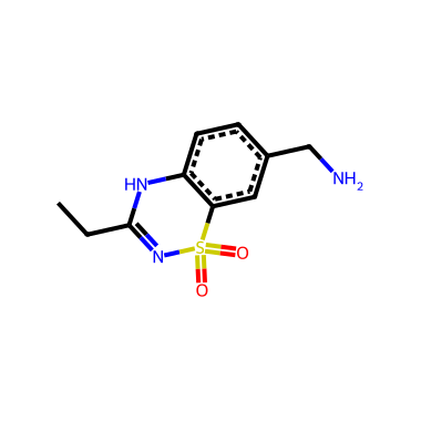 CCC1=NS(=O)(=O)c2cc(CN)ccc2N1